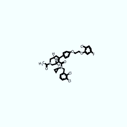 CC(=O)N1C[C@H]2CC(c3ccc(OCCOc4cc(F)ccc4Cl)cc3)=C(C(=O)N(Cc3cccc(Cl)c3Cl)C3CC3)[C@@H](C1)N2